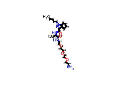 C=CCCCn1nc(C(=O)NC(C(=O)NCCOCCOCCOCCN)C(C)(C)C)c2ccccc21